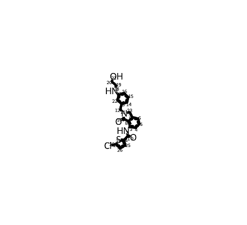 O=C(Nc1cccc2c1C(=O)N(Cc1cccc(NCCO)c1)C2)c1ccc(Cl)s1